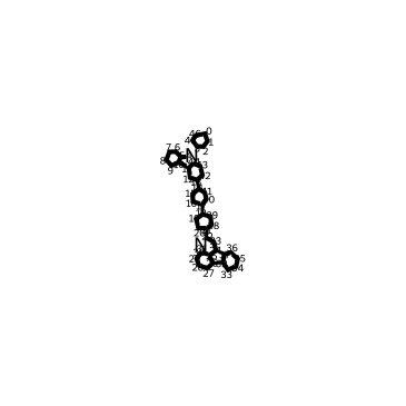 c1ccc(-n2c3ccccc3c3cc(-c4ccc(-c5ccc(-c6cc7c8c(cccc8n6)-c6ccccc6-7)cc5)cc4)ccc32)cc1